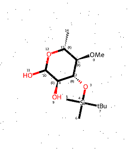 CO[C@H]1[C@H](O[Si](C)(C)C(C)(C)C)[C@@H](O)C(O)O[C@@H]1C